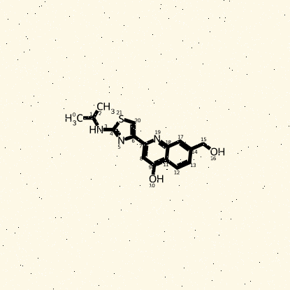 CC(C)Nc1nc(-c2cc(O)c3ccc(CO)cc3n2)cs1